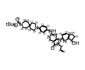 C=CCn1c(=O)c2cnc(Nc3ccc(N4CCC5(CCN(C(=O)OC(C)(C)C)CC5)CC4)cc3)nc2n1-c1ccc2c(n1)C(O)CC2